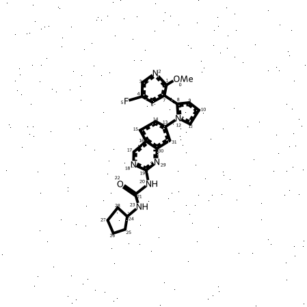 COc1ncc(F)cc1-c1cccn1-c1ccc2cnc(NC(=O)NC3CCCC3)nc2c1